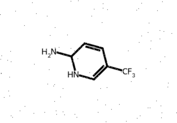 NC1C=CC(C(F)(F)F)=CN1